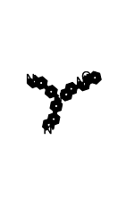 c1ccc2c(c1)oc1nc(-c3ccc4cc(N(c5ccc(-c6ccc7cnccc7c6)cc5)c5ccc(-c6ccc7cnccc7c6)cc5)ccc4c3)ccc12